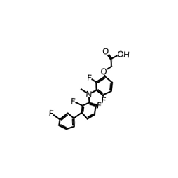 CN(c1c(F)ccc(OCC(=O)O)c1F)c1c(F)ccc(-c2cccc(F)c2)c1F